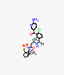 CC[C@@H](NC(C)CC(=O)N1C2CC3CCC2(CS1(=O)=O)C3(C)C)c1ccc(Cl)c(C(=O)c2ccc(N)nc2)c1F